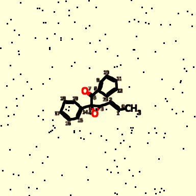 C/C=C/C1OC1(C(=O)c1ccccc1)c1ccccc1